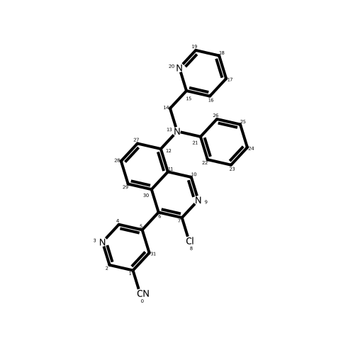 N#Cc1cncc(-c2c(Cl)ncc3c(N(Cc4ccccn4)c4ccccc4)cccc23)c1